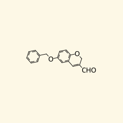 O=CC1=Cc2cc(OCc3ccccc3)ccc2OC1